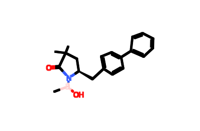 CB(O)N1C(=O)C(C)(C)C[C@H]1Cc1ccc(-c2ccccc2)cc1